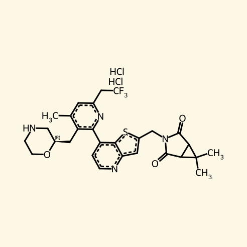 Cc1cc(CC(F)(F)F)nc(-c2ccnc3cc(CN4C(=O)C5C(C4=O)C5(C)C)sc23)c1C[C@@H]1CNCCO1.Cl.Cl